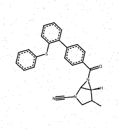 CC1CN(C#N)C2[C@@H]1N2C(=O)c1ccc(-c2ccccc2Sc2ccccc2)cc1